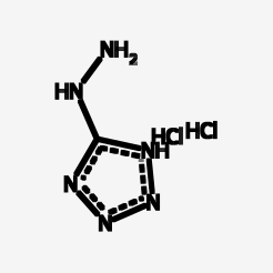 Cl.Cl.NNc1nnn[nH]1